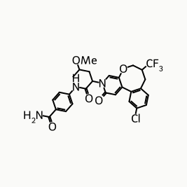 COC(C)CC(C(=O)Nc1ccc(C(N)=O)cc1)n1cc2c(cc1=O)-c1cc(Cl)ccc1CC(C(F)(F)F)CO2